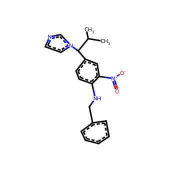 CC(C)C(c1ccc(NCc2ccccc2)c([N+](=O)[O-])c1)n1ccnc1